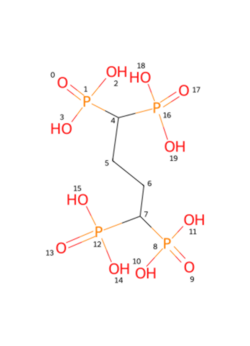 O=P(O)(O)C(CCC(P(=O)(O)O)P(=O)(O)O)P(=O)(O)O